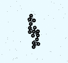 Cc1ccc2c(oc3ccccc32)c1N(c1ccccc1)c1ccc(-c2ccc3c4cccc5c6c(-c7ccccc7)c7c(c(-c8ccccc8)c6n(c3c2)c45)c2cccc3c4ccc(-c5ccc(N(c6ccccc6)c6c(C)ccc8c6oc6ccccc68)cc5)cc4n7c32)cc1